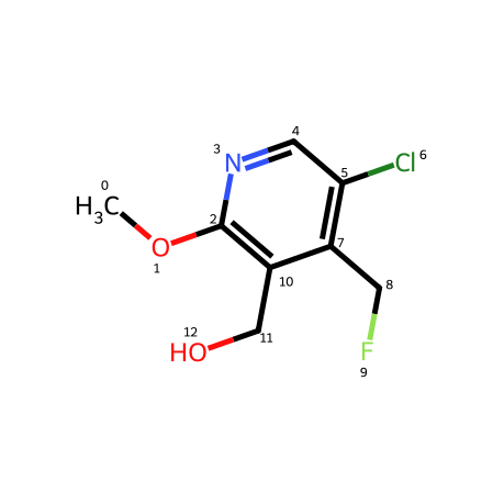 COc1ncc(Cl)c(CF)c1CO